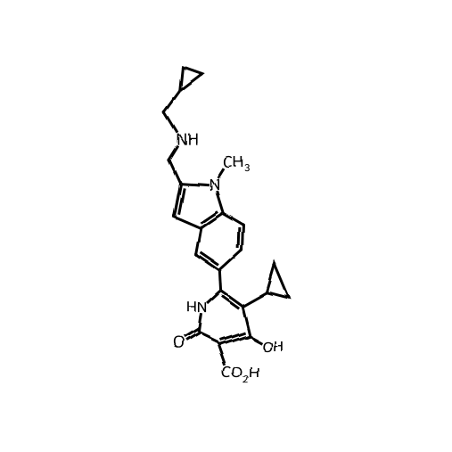 Cn1c(CNCC2CC2)cc2cc(-c3[nH]c(=O)c(C(=O)O)c(O)c3C3CC3)ccc21